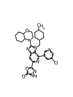 CC1CCC(Cn2c(N3CCOC4CCCCC43)nc3cc(-c4n[nH]c(=O)o4)nc(-c4cncc(Cl)c4)c32)CC1